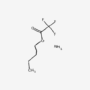 CCCCOC(=O)C(F)(F)F.N